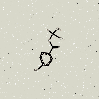 CCC(C)(C)OC(=O)c1ccc(C#N)cc1